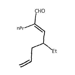 C=CCC(C=C(C=O)CCC)CC